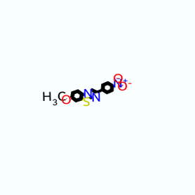 COc1ccc2c(c1)sc1nc(-c3ccc([N+](=O)[O-])cc3)cn12